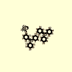 O=C(I)I.[Rh].c1cc[c]([Sb]([c]2ccccc2)[c]2ccccc2)cc1.c1cc[c]([Sb]([c]2ccccc2)[c]2ccccc2)cc1